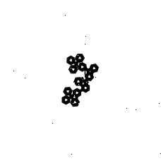 c1ccc(C2(c3ccccc3)c3ccccc3-c3cc(-c4cccc5c4c4ccccc4n5-c4ccc5c6ccccc6n(-c6ccc([Si](c7ccccc7)(c7ccccc7)c7ccccc7)cc6)c5c4)ccc32)cc1